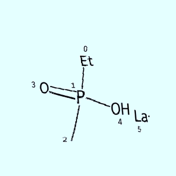 CCP(C)(=O)O.[La]